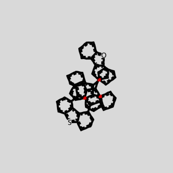 c1ccc(-c2c3ccccc3c(-c3cccc4sc5cccc(-c6c7ccccc7c(-c7ccc8oc9ccccc9c8c7)c7ccccc67)c5c34)c3ccccc23)cc1